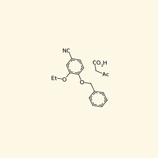 CC(=O)CC(=O)O.CCOc1cc(C#N)ccc1OCc1ccccc1